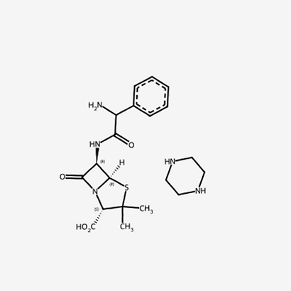 C1CNCCN1.CC1(C)S[C@@H]2[C@H](NC(=O)C(N)c3ccccc3)C(=O)N2[C@H]1C(=O)O